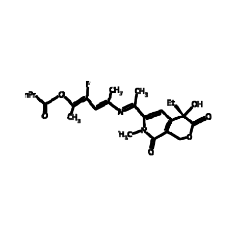 CCCC(=O)O/C(C)=C(F)/C=C(C)/N=C(\C)c1cc2c(c(=O)n1C)COC(=O)[C@]2(O)CC